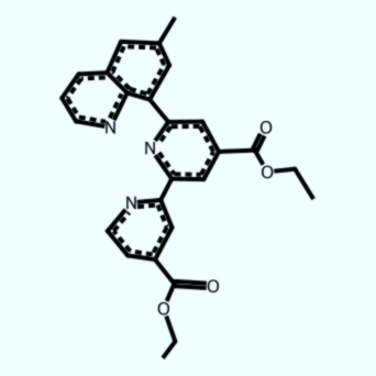 CCOC(=O)c1ccnc(-c2cc(C(=O)OCC)cc(-c3cc(C)cc4cccnc34)n2)c1